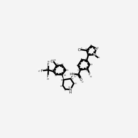 Cn1ncc(Cl)c1-c1ccc(C(=O)N[C@@H]2CNCC[C@H]2c2ccc(Cl)c(C(F)(F)F)c2)c(F)c1